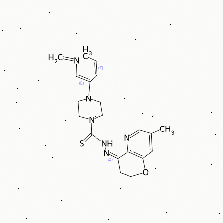 C=N/C=C(\C=C/C)N1CCN(C(=S)N/N=C2/CCOc3cc(C)cnc32)CC1